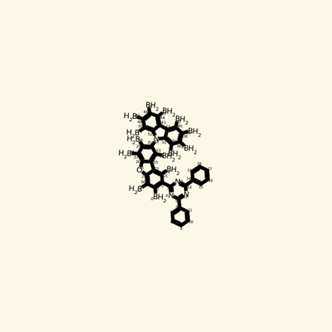 Bc1c(-c2nc(-c3ccccc3)nc(-c3ccccc3)n2)c(B)c2c(oc3c(B)c(B)c(-n4c5c(B)c(B)c(B)c(B)c5c5c(B)c(B)c(B)c(B)c54)c(B)c32)c1B